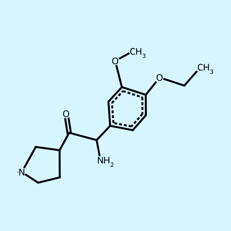 CCOc1ccc(C(N)C(=O)C2CC[N]C2)cc1OC